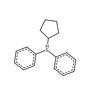 c1ccc([SH](c2ccccc2)C2CCCC2)cc1